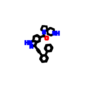 O=C(c1ccc2[nH]nc(C#Cc3ccccc3-c3ccccc3)c2c1)N1CCCC12CCNCC2